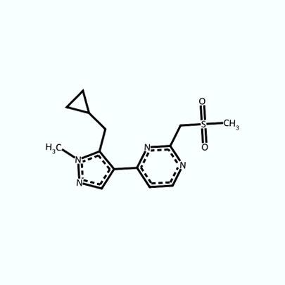 Cn1ncc(-c2ccnc(CS(C)(=O)=O)n2)c1CC1CC1